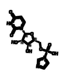 O=c1ccn([C@@H]2O[C@H](COP(=O)(O)n3ccnc3)[C@H](O)[C@@H]2O)c(=O)[nH]1